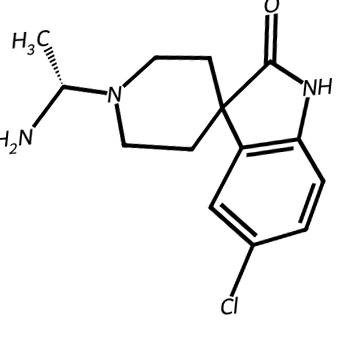 C[C@@H](N)N1CCC2(CC1)C(=O)Nc1ccc(Cl)cc12